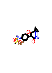 CNC(=O)c1c(C2CC2)oc2cc(N(C)S(C)(=O)=O)c(Br)cc12